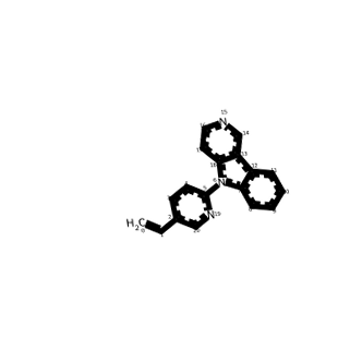 C=Cc1ccc(-n2c3ccccc3c3cnccc32)nc1